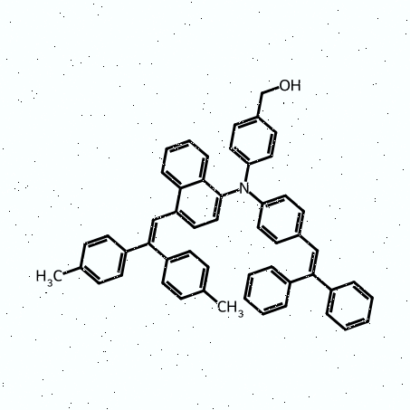 Cc1ccc(C(=Cc2ccc(N(c3ccc(C=C(c4ccccc4)c4ccccc4)cc3)c3ccc(CO)cc3)c3ccccc23)c2ccc(C)cc2)cc1